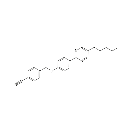 CCCCCc1cnc(-c2ccc(OCc3ccc(C#N)cc3)cc2)nc1